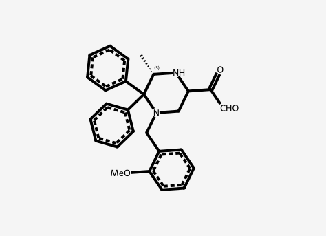 COc1ccccc1CN1CC(C(=O)C=O)N[C@@H](C)C1(c1ccccc1)c1ccccc1